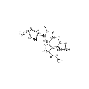 CC1CN(Cc2c[nH]nc2-c2cccn2CCO)CCN1c1ccc(C(F)(F)F)cn1